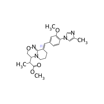 COC(=O)C(C)C1CON=C2/C(=C/c3ccc(-n4cnc(C)c4)c(OC)c3)CCCN21